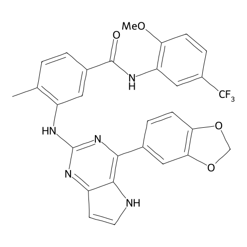 COc1ccc(C(F)(F)F)cc1NC(=O)c1ccc(C)c(Nc2nc(-c3ccc4c(c3)OCO4)c3[nH]ccc3n2)c1